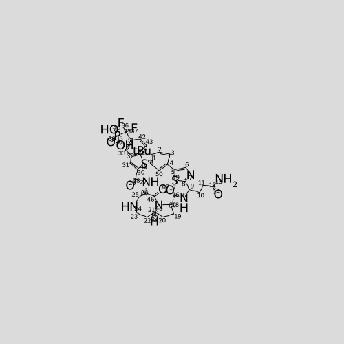 CC(C)(C)c1ccc(-c2cnc(C(CCC(N)=O)NC(=O)[C@@H]3CC[C@@H]4CCNC[C@H](NC(=O)c5cc6cc(C(F)(F)P(=O)(O)O)ccc6s5)C(=O)N43)s2)cc1